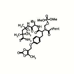 CCCCCC(=O)N(COP(=O)(OC)OC)C(Cc1ccc(OCc2oc(=O)oc2C)cc1)C(=O)NC(C(=O)NC(C)(C)CC(C)(C)C(N)=S)C(C)CC